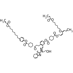 C=C/C=C(\C=C/COC(=O)[C@H]1CC[C@H](C(=O)Oc2ccc(CCC(=O)[C@H]3CC[C@H](C(=O)Oc4ccc(CCCCCCCCOC(=O)C=C)cc4)CC3)c(/C=N/N(CCO)c3nc4c(s3)CCC=C4)c2)CC1)OCCCCCCOC(=O)C=C